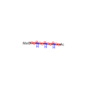 COCCOCCOCCC(=O)NCCOCCOCCC(=O)NCCOCCOCCC(=O)NCCOCCOCCC(C)=O